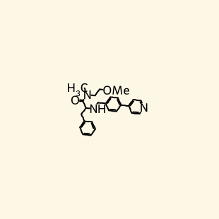 COCCN(C)C(=O)C(Cc1ccccc1)NCc1ccc(-c2ccncc2)cc1